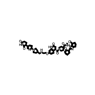 CNC(=O)C1(Oc2ccccc2-c2nc3cccc(Cl)c3s2)CCN(C(=O)[C@H]2CC(=O)Nc3cc(OCCNCC4CCN(c5ccc(C6CCC(=O)NC6=O)cn5)CC4)ccc32)CC1